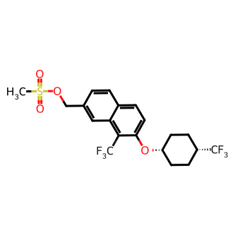 CS(=O)(=O)OCc1ccc2ccc(O[C@H]3CC[C@@H](C(F)(F)F)CC3)c(C(F)(F)F)c2c1